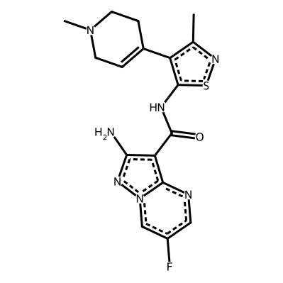 Cc1nsc(NC(=O)c2c(N)nn3cc(F)cnc23)c1C1=CCN(C)CC1